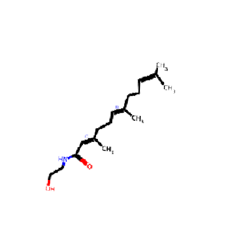 CC(C)=CCC/C(C)=C/CC/C(C)=C/C(=O)NCCO